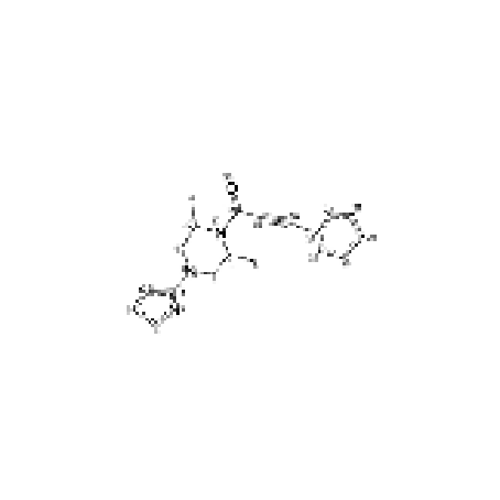 CC1CN(c2nccs2)CC(C)N1C(=O)C#Cc1ccccc1